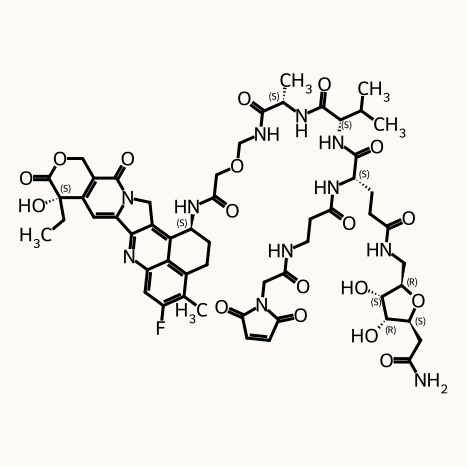 CC[C@@]1(O)C(=O)OCc2c1cc1n(c2=O)Cc2c-1nc1cc(F)c(C)c3c1c2[C@@H](NC(=O)COCNC(=O)[C@H](C)NC(=O)[C@@H](NC(=O)[C@H](CCC(=O)NC[C@H]1O[C@@H](CC(N)=O)[C@H](O)[C@@H]1O)NC(=O)CCNC(=O)CN1C(=O)C=CC1=O)C(C)C)CC3